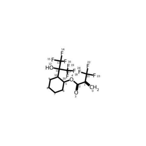 C=C(C(=O)OC1CCCCC1C(O)(C(F)(F)F)C(F)(F)F)C(F)(F)F